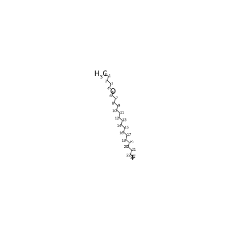 CCCCCOCCCCCCCCCCCCCCCCCF